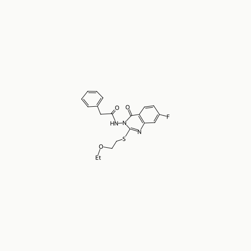 CCOCCSc1nc2cc(F)ccc2c(=O)n1NC(=O)Cc1ccccc1